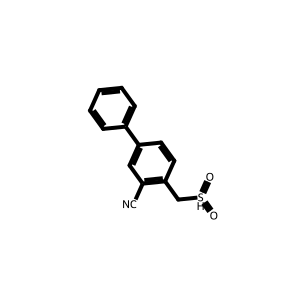 N#Cc1cc(-c2ccccc2)ccc1C[SH](=O)=O